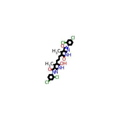 Cc1c(C=CC=c2c(C)c3c([nH]c2=O)=NN(c2ccc(Cl)cc2Cl)C3=O)c(O)[nH]c2nn(-c3ccc(Cl)cc3Cl)c(=O)c1-2